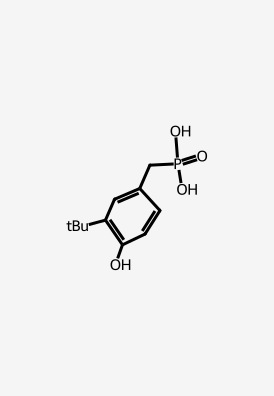 CC(C)(C)c1cc(CP(=O)(O)O)ccc1O